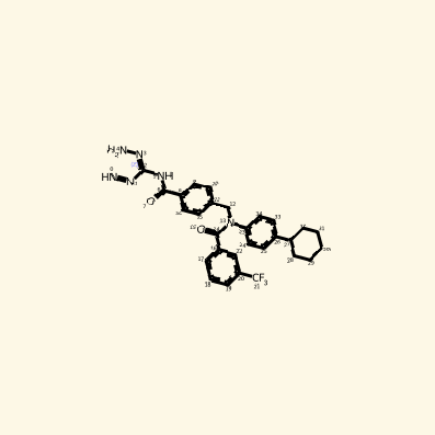 N=N/C(=N\N)NC(=O)c1ccc(CN(C(=O)c2cccc(C(F)(F)F)c2)c2ccc(C3CCCCC3)cc2)cc1